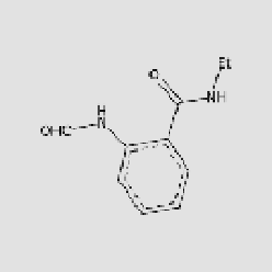 CCNC(=O)c1ccccc1NC=O